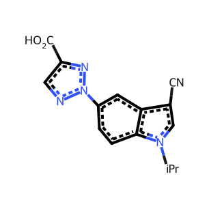 CC(C)n1cc(C#N)c2cc(-n3ncc(C(=O)O)n3)ccc21